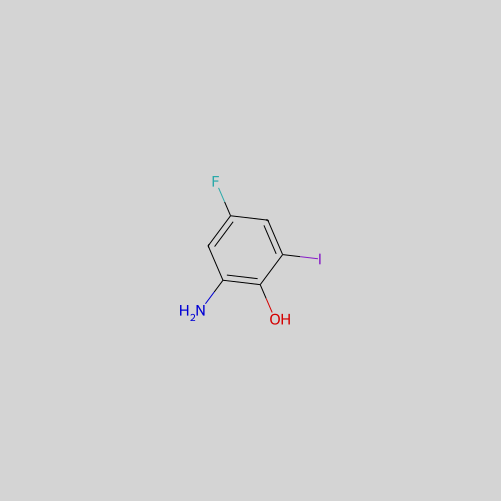 Nc1cc(F)cc(I)c1O